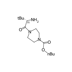 CCCCOC(=O)N1CCN(C(=O)[C@@H](N)C(C)(C)C)CC1